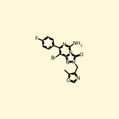 Cc1ocnc1Cn1nc2c(Br)c(-c3ccc(F)cc3)nc(N)n2c1=O